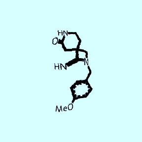 COc1ccc(CN2CC3(CCNC(=O)C3)C2=N)cc1